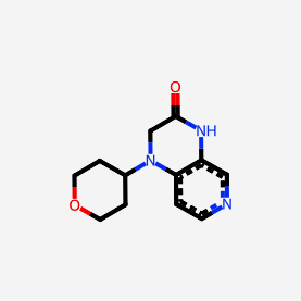 O=C1CN(C2CCOCC2)c2ccncc2N1